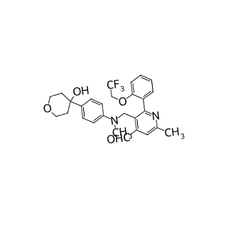 Cc1cc(C=O)c(CN(C)c2ccc(C3(O)CCOCC3)cc2)c(-c2ccccc2OCC(F)(F)F)n1